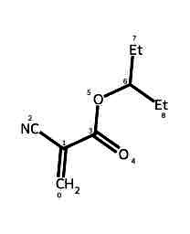 C=C(C#N)C(=O)OC(CC)CC